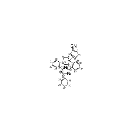 N#Cc1ccc2c(c1)C1(CCCCC1)c1c(-c3nc(-c4ccccc4)nc(-c4ccccc4)n3)cccc1-2